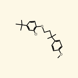 COc1ccc(C(C)(C)CCOc2ccc(C(C)(C)C)cc2Cl)cc1